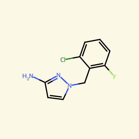 Nc1ccn(Cc2c(F)cccc2Cl)n1